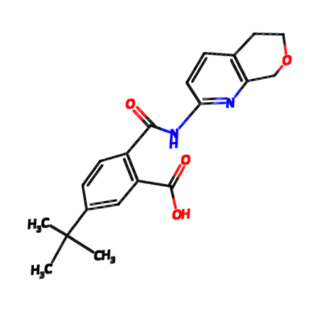 CC(C)(C)c1ccc(C(=O)Nc2ccc3c(n2)COCC3)c(C(=O)O)c1